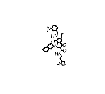 CN(C)c1cccc(CNc2c(F)cc3c(=O)c(C(=O)NCCC4CCCN4C)cn4c3c2Oc2cc3ccccc3cc2-4)c1